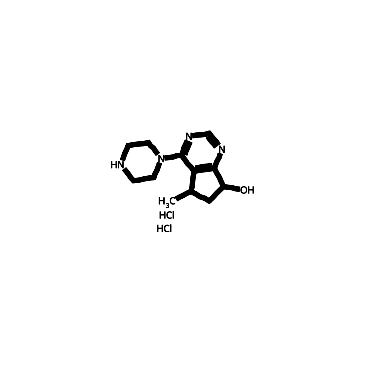 CC1CC(O)c2ncnc(N3CCNCC3)c21.Cl.Cl